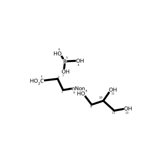 CCCCCCCCCCCC(=O)O.OB(O)O.OCC(O)CO